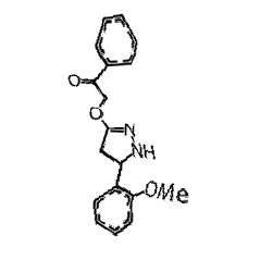 COc1ccccc1C1CC(OCC(=O)c2ccccc2)=NN1